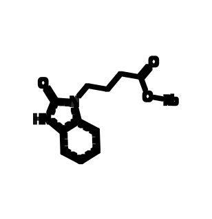 O=C(CCCn1c(=O)[nH]c2ccccc21)[O][Rb]